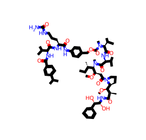 CC[C@H](C)[C@@H]([C@@H](CC(=O)N1CCC[C@H]1[C@H](OC)[C@@H](C)C(=O)N[C@H](O)[C@@H](O)c1ccccc1)OC)N(C)C(=O)[C@@H](NC(=O)[C@H](C(C)C)N(C)C(=O)OCc1ccc(NC(=O)[C@H](CCCNC(N)=O)NC(=O)[C@@H](NC(=O)c2ccc(C(C)C)cc2)C(C)C)cc1)C(C)C